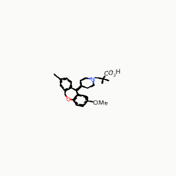 COc1ccc2c(c1)C(=C1CCN(CC(C)(C)C(=O)O)CC1)c1ccc(C)cc1CO2